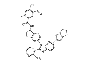 Nc1ncccc1-c1nc2ccc(-c3cc4n(n3)CCC4)nc2n1-c1ccc2c(c1)CC[C@@H]2NC(=O)c1cc(C=O)c(O)cc1F